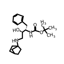 CC(C)(C)OC(=O)N[C@@H](Cc1ccccc1)[C@H](O)CNC12CCC(CC1)C2